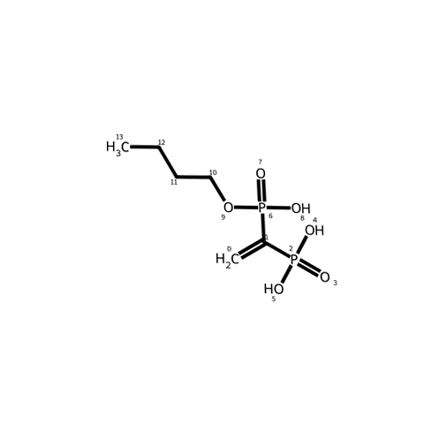 C=C(P(=O)(O)O)P(=O)(O)OCCCC